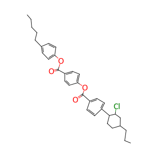 CCCCCc1ccc(OC(=O)c2ccc(OC(=O)c3ccc(C4CCC(CCC)CC4Cl)cc3)cc2)cc1